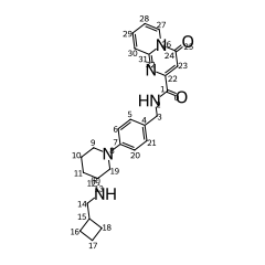 O=C(NCc1ccc(N2CCC[C@@H](NCC3CCC3)C2)cc1)c1cc(=O)n2ccccc2n1